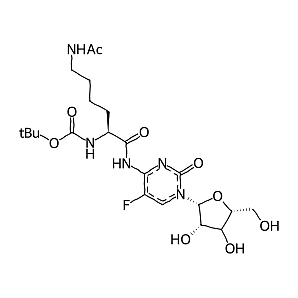 CC(=O)NCCCC[C@H](NC(=O)OC(C)(C)C)C(=O)Nc1nc(=O)n([C@@H]2O[C@H](CO)C(O)[C@@H]2O)cc1F